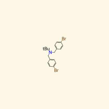 CC(C)(C)N(Cc1ccc(Br)cc1)Cc1ccc(Br)cc1